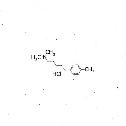 Cc1ccc(CCCCCN(C)C)cc1.Cl